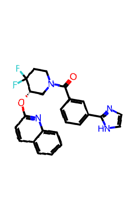 O=C(c1cccc(-c2ncc[nH]2)c1)N1CCC(F)(F)[C@@H](Oc2ccc3ccccc3n2)C1